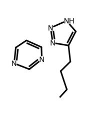 CCCCc1c[nH]nn1.c1cncnc1